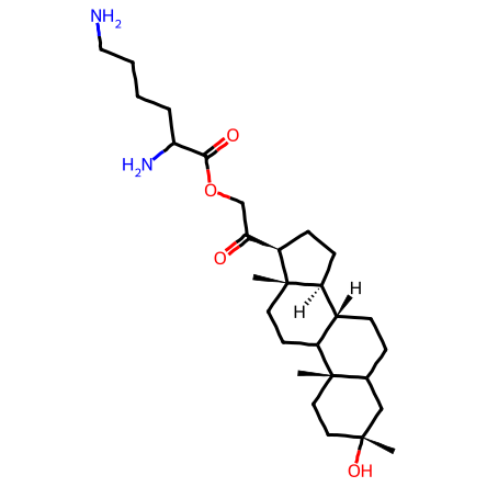 C[C@@]1(O)CC[C@@]2(C)C(CC[C@@H]3C2CC[C@]2(C)[C@@H](C(=O)COC(=O)C(N)CCCCN)CC[C@@H]32)C1